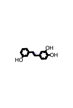 Oc1cccc(/C=C/c2ccc(O)c(O)c2)c1